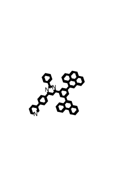 c1ccc(-c2nc(-c3ccc(-c4cccnc4)cc3)cc(-c3cc(-c4cc5ccccc5c5ccccc45)cc(-c4cc5cccc6ccc7cccc4c7c65)c3)n2)cc1